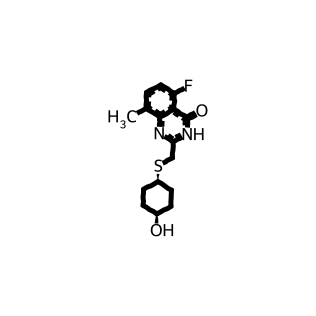 Cc1ccc(F)c2c(=O)[nH]c(CS[C@H]3CC[C@H](O)CC3)nc12